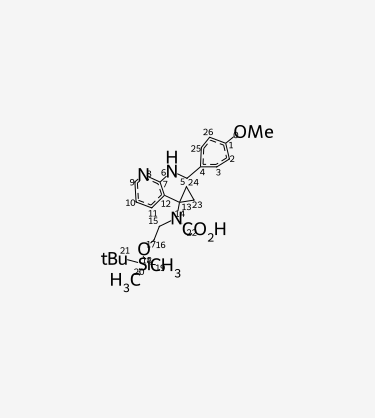 COc1ccc(CNc2ncccc2C2(N(CCO[Si](C)(C)C(C)(C)C)C(=O)O)CC2)cc1